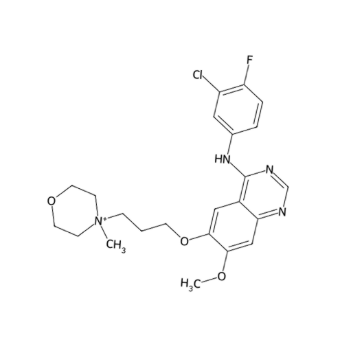 COc1cc2ncnc(Nc3ccc(F)c(Cl)c3)c2cc1OCCC[N+]1(C)CCOCC1